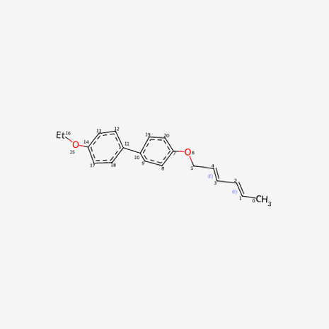 C/C=C/C=C/COc1ccc(-c2ccc(OCC)cc2)cc1